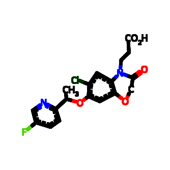 CC(Oc1cc2c(cc1Cl)N(CCC(=O)O)C(=O)CO2)c1ccc(F)cn1